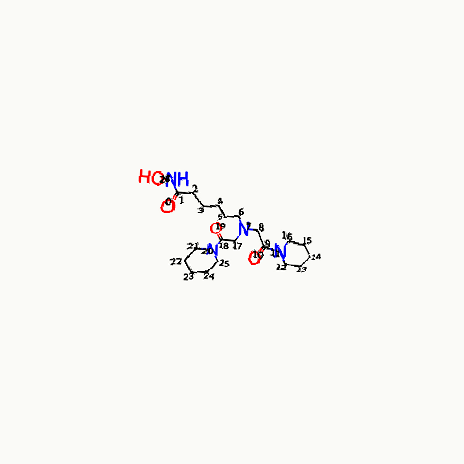 O=C(CCCCCN(CC(=O)N1CCCCC1)CC(=O)N1CCCCC1)NO